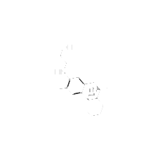 OCCNc1cc2c(cc1O)[C@]13CCCC[C@@H]1[C@H](C2)NCC3